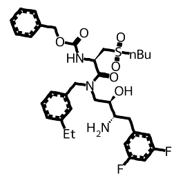 CCCCS(=O)(=O)C[C@H](NC(=O)OCc1ccccc1)C(=O)N(Cc1cccc(CC)c1)C[C@@H](O)[C@@H](N)Cc1cc(F)cc(F)c1